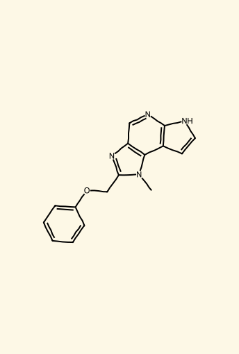 Cn1c(COc2ccccc2)nc2cnc3[nH]ccc3c21